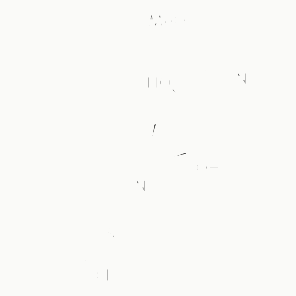 COc1ccc2nccc([C@H](O)CC[C@@H]3CCN(CCSc4ccccc4Cl)C[C@@H]3CO)c2c1